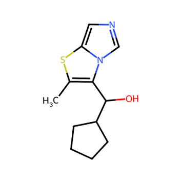 Cc1sc2cncn2c1C(O)C1CCCC1